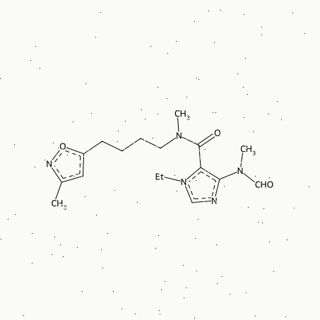 CCn1cnc(N(C)C=O)c1C(=O)N(C)CCCCc1cc(C)no1